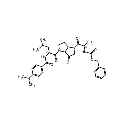 CC(C)C[C@H](NC(=O)c1ccc(N(C)C)cc1)C(=O)N1CCC2C1C(=O)CN2C(=O)[C@@H](C)NC(=O)OCc1ccccc1